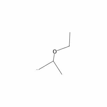 [CH2]C(C)OCC